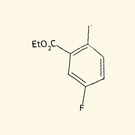 [CH2]c1ccc(F)cc1C(=O)OCC